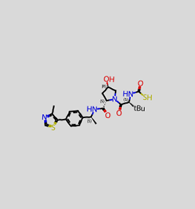 Cc1ncsc1-c1ccc([C@H](C)NC(=O)[C@@H]2C[C@@H](O)CN2C(=O)[C@@H](NC(=O)S)C(C)(C)C)cc1